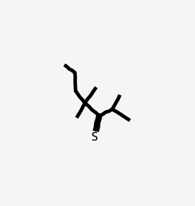 CCCC(C)(C)C(=S)C(C)C